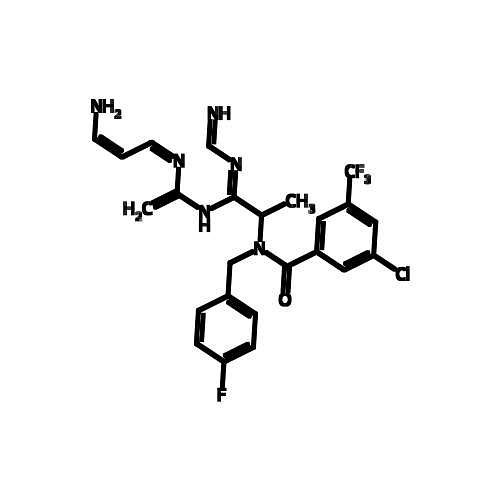 C=C(/N=C\C=C/N)N/C(=N\C=N)C(C)N(Cc1ccc(F)cc1)C(=O)c1cc(Cl)cc(C(F)(F)F)c1